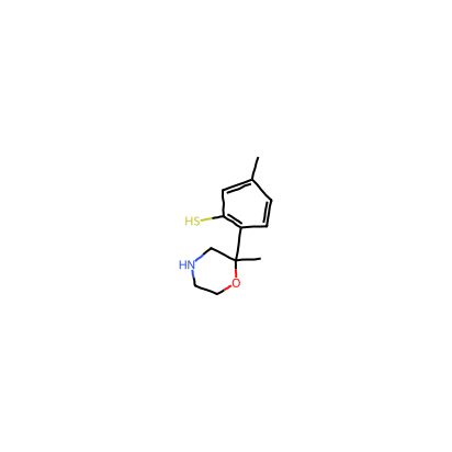 Cc1ccc(C2(C)CNCCO2)c(S)c1